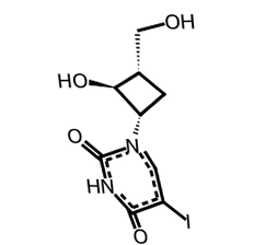 O=c1[nH]c(=O)n([C@H]2C[C@@H](CO)[C@@H]2O)cc1I